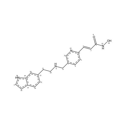 O=C(/C=C/c1ccc(CNCCc2ccc3cc[nH]c3c2)cn1)NO